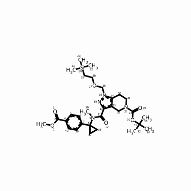 COC(=O)c1ccc(C2(N(C)C(=O)c3nn(COCC[Si](C)(C)C)c4c3CN(C(=O)OC(C)(C)C)CC4)CC2)cc1